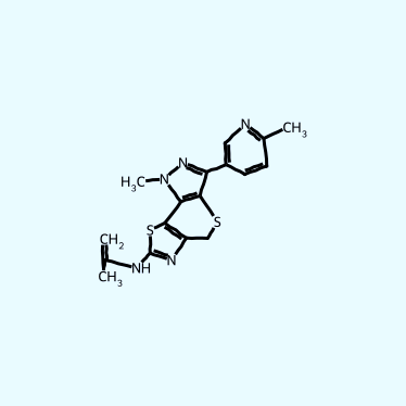 C=C(C)Nc1nc2c(s1)-c1c(c(-c3ccc(C)nc3)nn1C)SC2